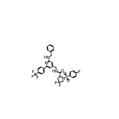 O=C(NCc1cc(NCc2ccccc2)nc(-c2ccc(C(F)(F)F)cc2)c1)[C@@H]1CC(F)(F)CN1S(=O)(=O)c1ccc(F)cc1